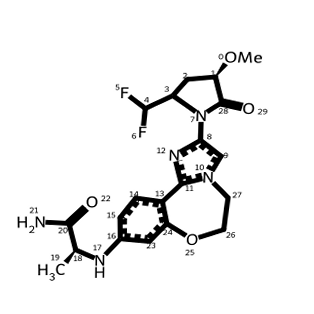 CO[C@@H]1CC(C(F)F)N(c2cn3c(n2)-c2ccc(N[C@@H](C)C(N)=O)cc2OCC3)C1=O